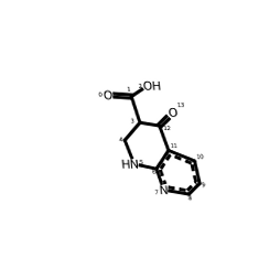 O=C(O)C1CNc2ncccc2C1=O